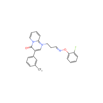 O=c1c(-c2cccc(C(F)(F)F)c2)c[n+](CCC=NOc2ccccc2F)c2ccccn12